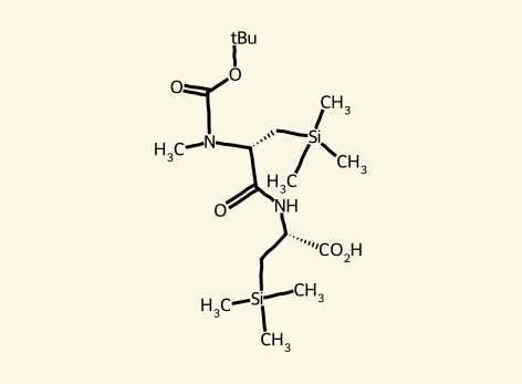 CN(C(=O)OC(C)(C)C)[C@H](C[Si](C)(C)C)C(=O)N[C@@H](C[Si](C)(C)C)C(=O)O